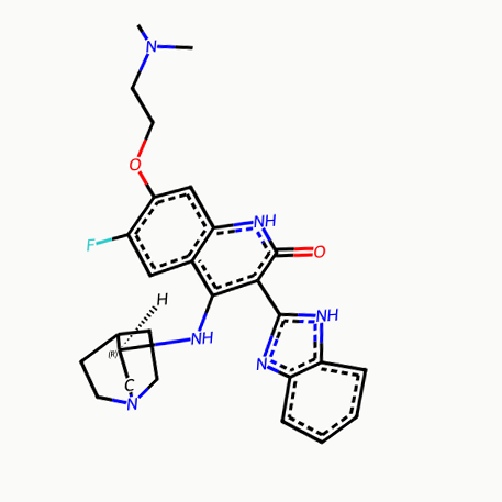 CN(C)CCOc1cc2[nH]c(=O)c(-c3nc4ccccc4[nH]3)c(N[C@H]3CN4CCC3CC4)c2cc1F